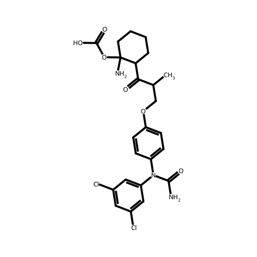 CC(COc1ccc(N(C(N)=O)c2cc(Cl)cc(Cl)c2)cc1)C(=O)C1CCCCC1(N)OC(=O)O